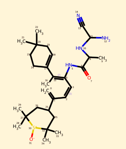 C=C(/C=C\C(NC(=O)C(C)NC(N)C#N)=C(/C)C1=CCC(C)(C)CC1)C1CC(C)(C)[S+]([O-])C(C)(C)C1